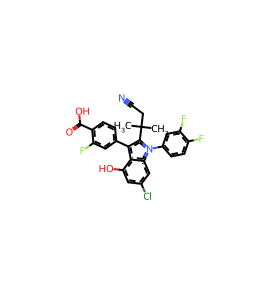 CC(C)(CC#N)c1c(-c2ccc(C(=O)O)c(F)c2)c2c(O)cc(Cl)cc2n1-c1ccc(F)c(F)c1